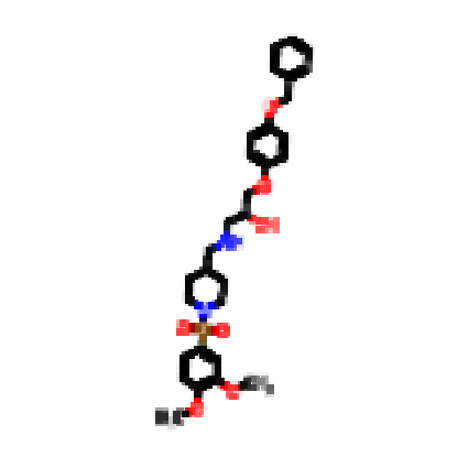 COc1ccc(S(=O)(=O)N2CCC(CNC[C@H](O)COc3ccc(OCc4ccccc4)cc3)CC2)cc1OC